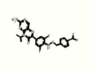 CC(C)n1c(=O)c(-c2cc(F)c(NSCc3ccc(C(F)F)cc3)c(F)c2)nc2cnc(N)nc21